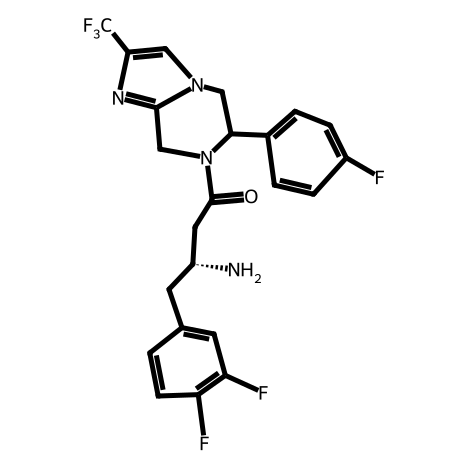 N[C@@H](CC(=O)N1Cc2nc(C(F)(F)F)cn2CC1c1ccc(F)cc1)Cc1ccc(F)c(F)c1